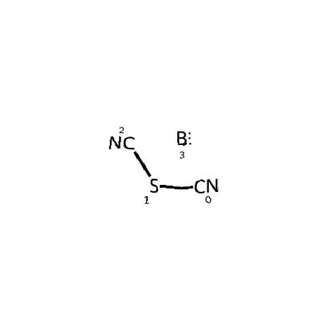 N#CSC#N.[B]